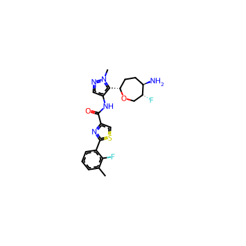 Cc1cccc(-c2nc(C(=O)Nc3cnn(C)c3[C@@H]3CC[C@@H](N)[C@H](F)CO3)cs2)c1F